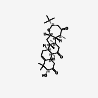 C[C@H]1C(=O)C[C@@H](C(C)(C)C)O[C@H]2C[C@@]3(C)[C@@H]4CC=C5[C@@H](CC(=O)[C@H](O)C5(C)C)[C@]4(C)C(=O)C[C@]3(C)[C@H]21